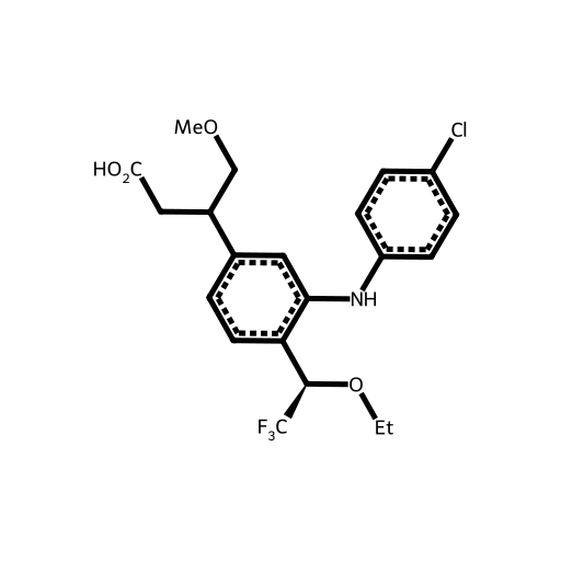 CCO[C@H](c1ccc(C(COC)CC(=O)O)cc1Nc1ccc(Cl)cc1)C(F)(F)F